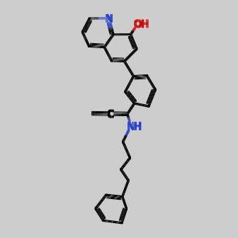 C=C=C(NCCCCc1ccccc1)c1cccc(-c2cc(O)c3ncccc3c2)c1